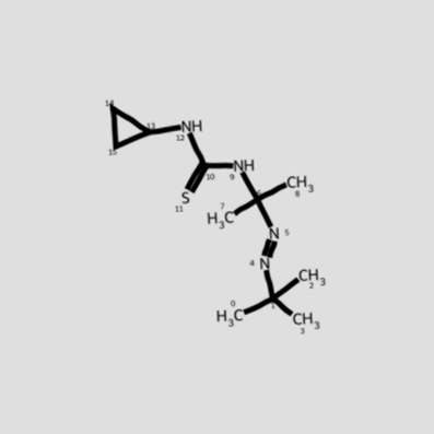 CC(C)(C)N=NC(C)(C)NC(=S)NC1CC1